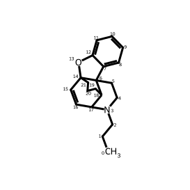 CCCN1CCC23c4ccccc4OC24C=CC1C3CCC4